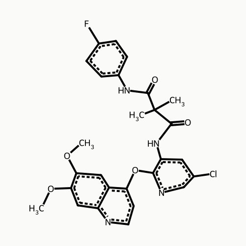 COc1cc2nccc(Oc3ncc(Cl)cc3NC(=O)C(C)(C)C(=O)Nc3ccc(F)cc3)c2cc1OC